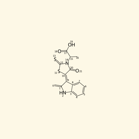 C=c1[nH]c2ccccc2/c1=C1/SC(=S)N(C(C)C(=O)O)C1=O